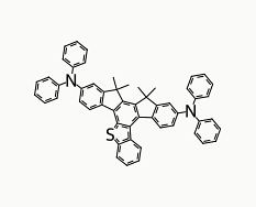 CC1(C)c2cc(N(c3ccccc3)c3ccccc3)ccc2-c2c1c1c(c3c2sc2ccccc23)-c2ccc(N(c3ccccc3)c3ccccc3)cc2C1(C)C